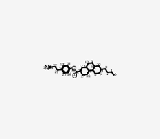 CCCCC1CCC2C(CCC3CC(C(=O)Oc4ccc(CCC#N)cc4)CCC32)C1